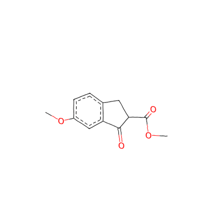 COC(=O)C1Cc2ccc(OC)cc2C1=O